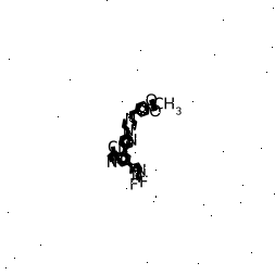 CS(=O)(=O)c1ccc(CN2CCN(c3ccc(-c4cc(-c5cnn(C(F)F)c5)cn5ncc(C#N)c45)cn3)CC2)cc1